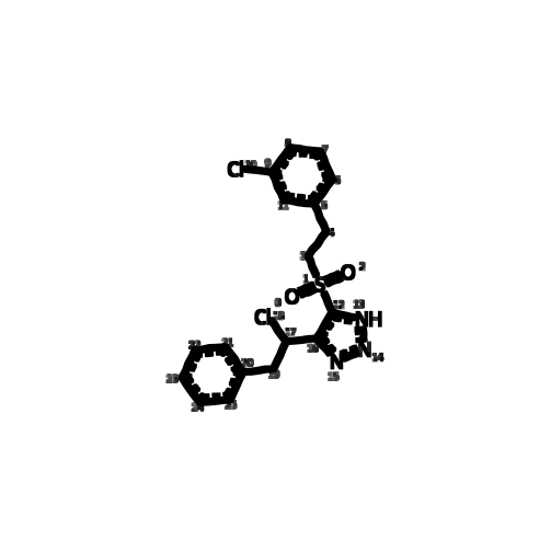 O=S(=O)(CCc1cccc(Cl)c1)c1[nH]nnc1C(Cl)Cc1ccccc1